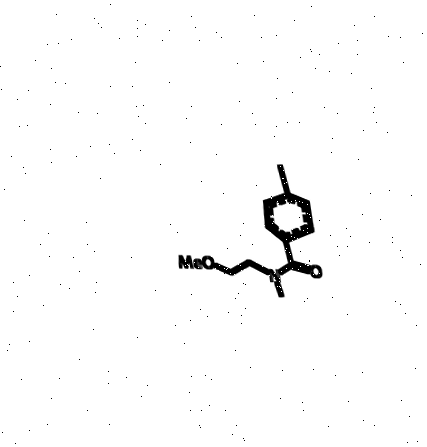 COCCN(C)C(=O)c1ccc(C)cc1